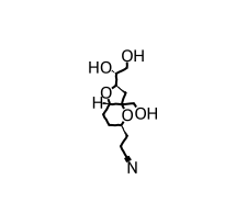 N#CCC[C@H]1CC[C@@H]2O[C@@H]([C@H](O)CO)CC2(CO)O1